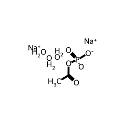 CC(=O)OP(=O)([O-])[O-].O.O.O.[Na+].[Na+]